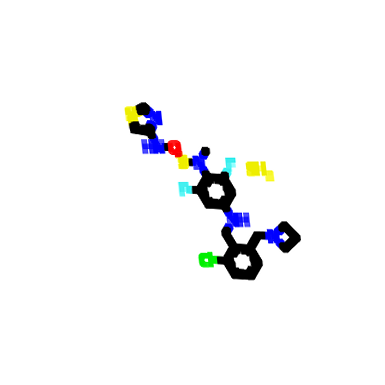 CN(SONc1cscn1)c1c(F)cc(NCc2c(Cl)cccc2CN2CCC2)cc1F.S